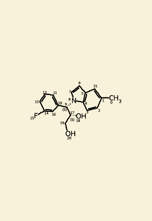 Cc1ccc2c(ccn2[C@@H](c2cccc(F)c2)[C@H](O)CO)c1